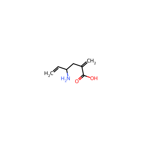 C=CC(N)CC(=C)C(=O)O